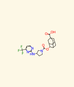 O=C(OC1C2CC3CC1CC(C(=O)O)(C3)C2)N1CCC(Nc2nccc(C(F)(F)F)n2)C1